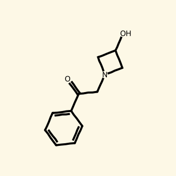 O=C(CN1CC(O)C1)c1ccccc1